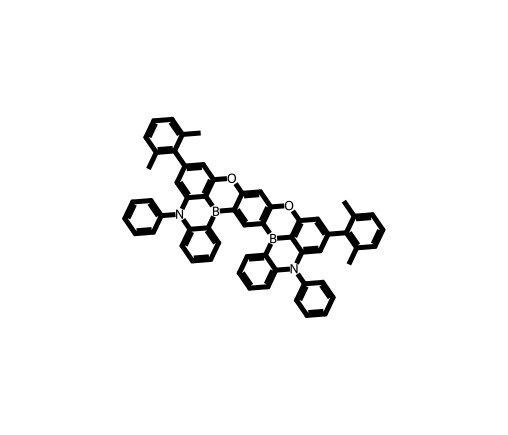 Cc1cccc(C)c1-c1cc2c3c(c1)N(c1ccccc1)c1ccccc1B3c1cc3c(cc1O2)Oc1cc(-c2c(C)cccc2C)cc2c1B3c1ccccc1N2c1ccccc1